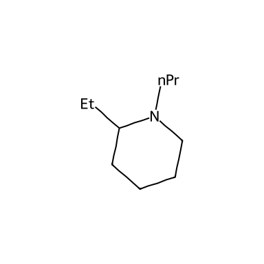 [CH2]CCN1CCCCC1CC